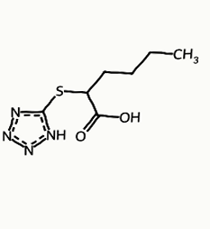 CCCCC(Sc1nnn[nH]1)C(=O)O